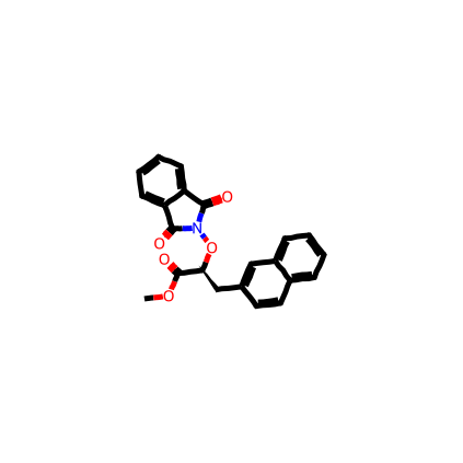 COC(=O)[C@H](Cc1ccc2ccccc2c1)ON1C(=O)c2ccccc2C1=O